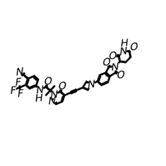 CC(C)(C(=O)Nc1ccc(C#N)c(C(F)(F)F)c1)n1nccc(C#CC2CN(c3ccc4c(c3)C(=O)N(C3CCC(=O)NC3=O)C4=O)C2)c1=O